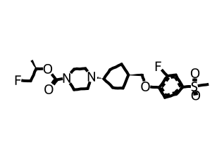 C[C@H](CF)OC(=O)N1CCN([C@H]2CC[C@H](COc3ccc(S(C)(=O)=O)cc3F)CC2)CC1